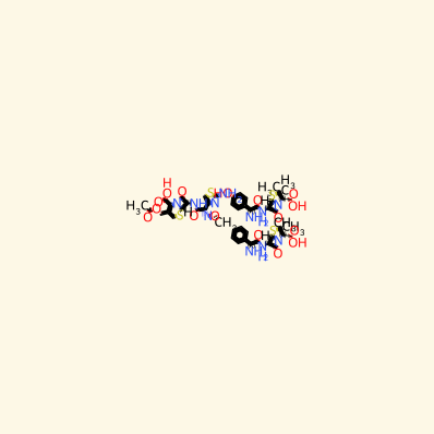 CC1(C)S[C@@H]2[C@H](NC(=O)[C@H](N)c3ccc(O)cc3)C(=O)N2[C@H]1C(=O)O.CC1(C)S[C@@H]2[C@H](NC(=O)[C@H](N)c3ccccc3)C(=O)N2[C@H]1C(=O)O.CO/N=C(/C(=O)N[C@@H]1C(=O)N2C(C(=O)O)=C(COC(C)=O)CS[C@H]12)c1csc(N)n1